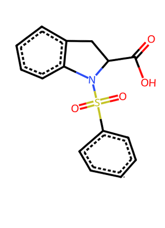 O=C(O)C1Cc2ccccc2N1S(=O)(=O)c1cc[c]cc1